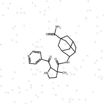 CC1(C(=O)NC2C3CC4CC2CC(C(N)=O)(C4)C3)CCNC1C(=O)c1ccncc1